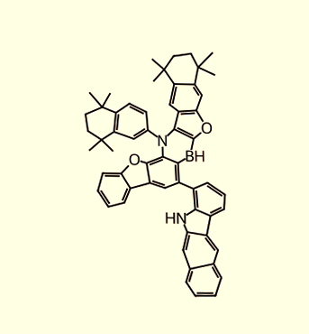 CC1(C)CCC(C)(C)c2cc(N3c4c(oc5cc6c(cc45)C(C)(C)CCC6(C)C)Bc4c(-c5cccc6c5[nH]c5cc7ccccc7cc56)cc5c(oc6ccccc65)c43)ccc21